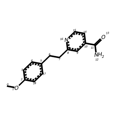 COc1ccc(CCc2cc(C(N)=O)ccn2)cc1